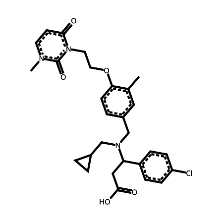 Cc1cc(CN(CC2CC2)C(CC(=O)O)c2ccc(Cl)cc2)ccc1OCCn1c(=O)ccn(C)c1=O